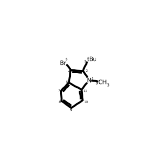 Cn1c(C(C)(C)C)c(Br)c2ccccc21